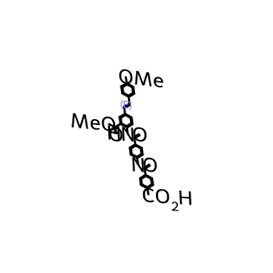 COC(=O)c1cc(/C=C/c2ccc(OC)cc2)ccc1NC(=O)c1ccc(N(C)C(=O)c2ccc(C(=O)O)cc2)cc1